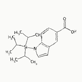 CC(C)[Si](C(C)C)(C(C)C)n1ccc2cc(C(=O)O)ccc21